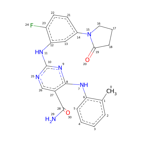 Cc1ccccc1Nc1nc(Nc2cc(N3CCCC3=O)ccc2F)ncc1C(N)=O